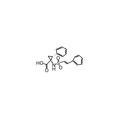 O=C(O)[C@]1(NS(=O)(=O)/C=C/c2ccccc2)C[C@@H]1c1ccccc1